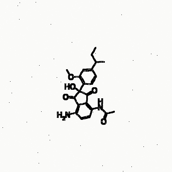 CCC(C)c1ccc(C2(O)C(=O)c3c(N)ccc(NC(C)=O)c3C2=O)c(OC)c1